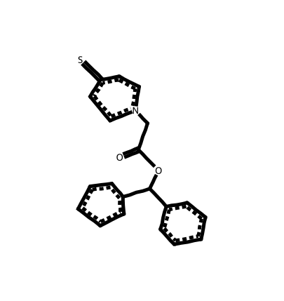 O=C(Cn1ccc(=S)cc1)OC(c1ccccc1)c1ccccc1